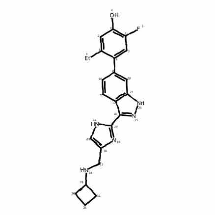 CCc1cc(O)c(F)cc1-c1ccc2c(-c3nc(CNC4CCC4)c[nH]3)n[nH]c2c1